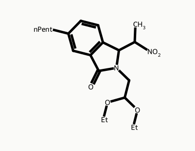 CCCCCc1ccc2c(c1)C(=O)N(CC(OCC)OCC)C2C(C)[N+](=O)[O-]